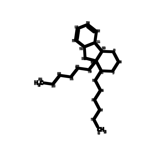 CCCCCCC1CCCC2C3C=CC=CC3[C]C12CCCCCC